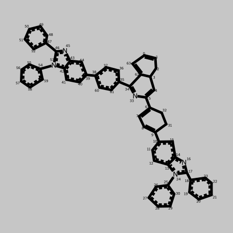 C1=CCC2C=C(C3=CC=C(c4ccc5c(c4)nc(-c4ccccc4)n5-c4ccccc4)CC3)N=C(c3ccc(-c4ccc5c(c4)nc(-c4ccccc4)n5-c4ccccc4)cc3)C2=C1